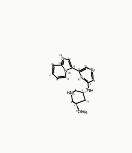 CO[C@H]1CNC[C@H](Nc2cncc(-c3cnc4ccccn34)n2)C1